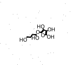 OCCCC(O)Oc1oc(O)c(O)c1O